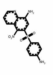 Nc1ccc(S(=O)(=O)c2cc(N)c3ncccc3c2[N+](=O)[O-])cc1